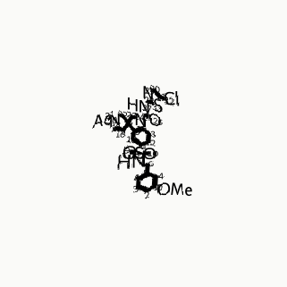 COc1cccc(CNS(=O)(=O)c2ccc3c(c2)C2(CCN(C(C)=O)C2)CN3C(=O)Nc2ncc(Cl)s2)c1